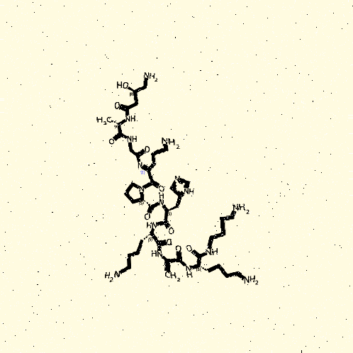 C=C(NC(=O)[C@H](CCCCN)NC(=O)[C@H](Cc1cnc[nH]1)NC(=O)[C@@H]1CCCN1C(=O)/C(CCCN)=N/C(=O)CNC(=O)[C@H](C)NC(=O)C[C@@H](O)CN)C(=O)N[C@@H](CCCCN)C(=O)NCCCCN